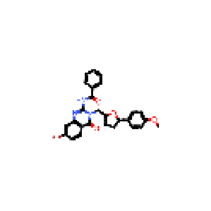 COc1ccc(C2CCC(Cn3c(NC(=O)c4ccccc4)nc4cc(Br)ccc4c3=O)O2)cc1